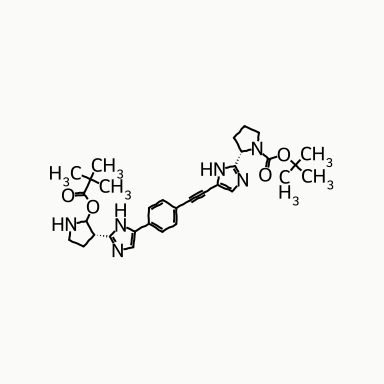 CC(C)(C)OC(=O)N1CCC[C@H]1c1ncc(C#Cc2ccc(-c3cnc([C@@H]4CCNC4OC(=O)C(C)(C)C)[nH]3)cc2)[nH]1